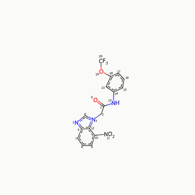 O=C(Cn1cnc2cccc([N+](=O)[O-])c21)Nc1cccc(OC(F)(F)F)c1